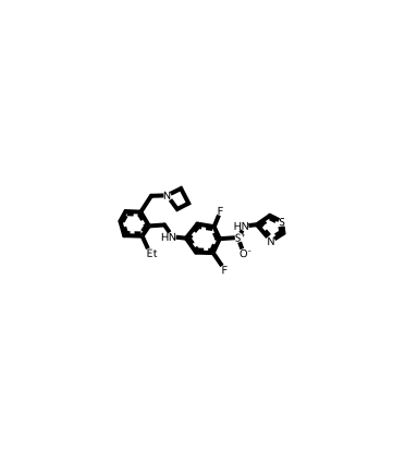 CCc1cccc(CN2CCC2)c1CNc1cc(F)c([S+]([O-])Nc2cscn2)c(F)c1